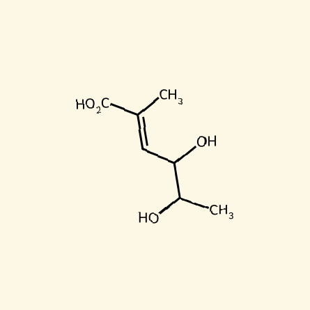 C/C(=C\C(O)C(C)O)C(=O)O